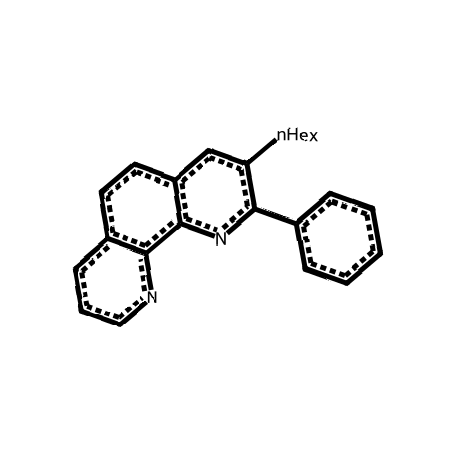 CCCCCCc1cc2ccc3cccnc3c2nc1-c1ccccc1